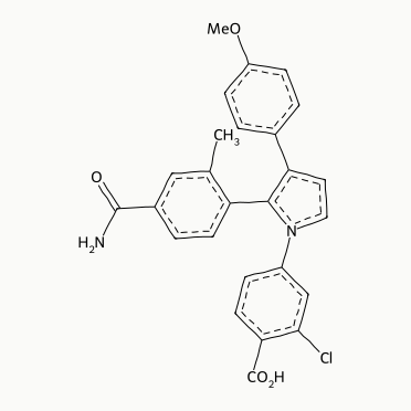 COc1ccc(-c2ccn(-c3ccc(C(=O)O)c(Cl)c3)c2-c2ccc(C(N)=O)cc2C)cc1